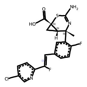 C[C@]1(c2cc(/C=C(\F)c3ccc(Cl)cn3)ccc2F)N=C(N)S[C@@]2(C(=O)O)C[C@H]21